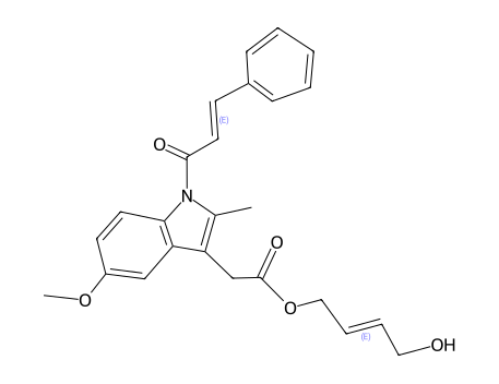 COc1ccc2c(c1)c(CC(=O)OC/C=C/CO)c(C)n2C(=O)/C=C/c1ccccc1